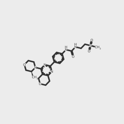 C[C@H]1COCCN1c1nc(-c2ccc(NC(=O)NCCS(C)(=O)=O)cc2)nc2c1COCC2